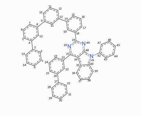 c1ccc(-c2cccc(-c3cccc(-c4cccc(-c5nc(-c6cccc(-c7ccccc7)c6)c6c7ccccc7n(-c7ccccc7)c6n5)c4)c3)c2)cc1